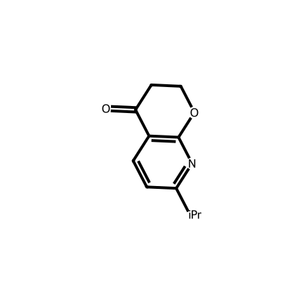 CC(C)c1ccc2c(n1)OCCC2=O